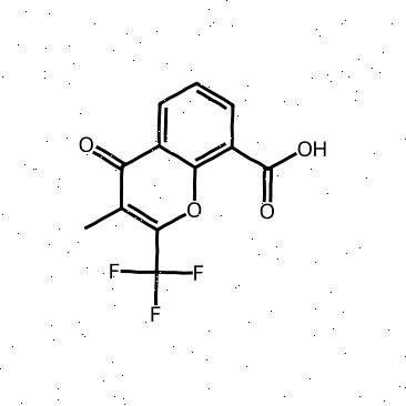 Cc1c(C(F)(F)F)oc2c(C(=O)O)cccc2c1=O